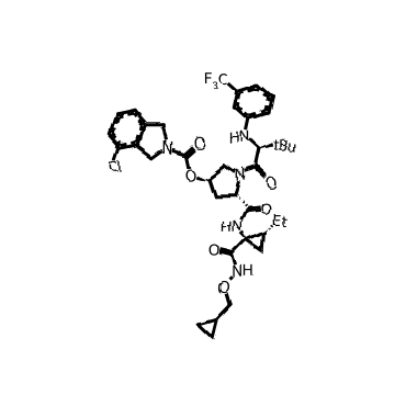 CC[C@@H]1C[C@]1(NC(=O)[C@@H]1C[C@@H](OC(=O)N2Cc3cccc(Cl)c3C2)CN1C(=O)[C@@H](Nc1cccc(C(F)(F)F)c1)C(C)(C)C)C(=O)NOCC1CC1